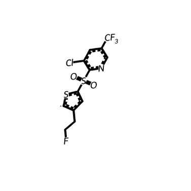 O=S(=O)(c1cc(CCF)[c]s1)c1ncc(C(F)(F)F)cc1Cl